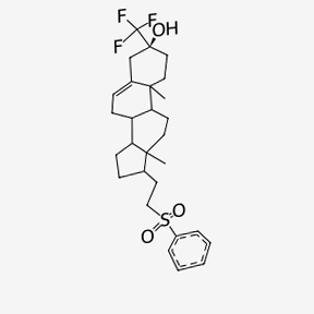 CC12CC[C@@](O)(C(F)(F)F)CC1=CCC1C2CCC2(C)C(CCS(=O)(=O)c3ccccc3)CCC12